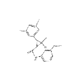 C=Cc1cccc(NC(=C)C2C(c3cc(C)cc(C)c3)C2(C)Cl)c1